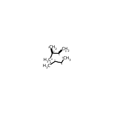 C=CC(=C)C.CCCC